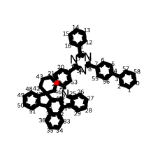 c1ccc(-c2ccc(-c3nc(-c4ccccc4)nc(-c4cccc(-n5c6ccccc6c6c7ccccc7c7c(c65)C5(CCCCC5)c5ccccc5-7)c4)n3)cc2)cc1